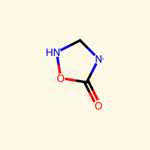 O=C1[N]CNO1